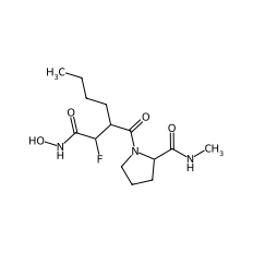 CCCCC(C(=O)N1CCCC1C(=O)NC)C(F)C(=O)NO